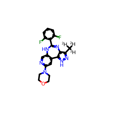 [2H]C([2H])([2H])c1n[nH]c2c1N=C(c1c(F)cccc1F)Nc1cnc(N3CCOCC3)cc1-2